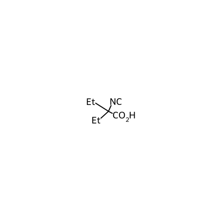 [C-]#[N+]C(CC)(CC)C(=O)O